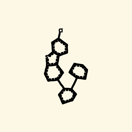 Clc1ccc2c(c1)sc1ccc(-c3ccccc3-c3ccccc3)cc12